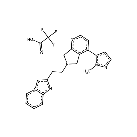 Cn1nccc1-c1ccnc2c1CN(CCc1cn3ccccc3n1)C2.O=C(O)C(F)(F)F